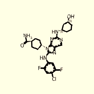 NC(=O)[C@H]1CC[C@H](n2c(Nc3cc(F)c(Cl)cc3F)nc3cnc(N[C@H]4CCC[C@H](O)C4)nc32)CC1